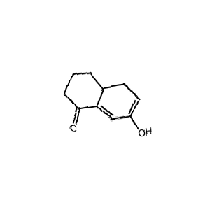 O=C1CCCC2CC=C(O)C=C12